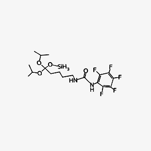 CC(C)OC(CCCCNC(=O)Nc1c(F)c(F)c(F)c(F)c1F)(O[SiH3])OC(C)C